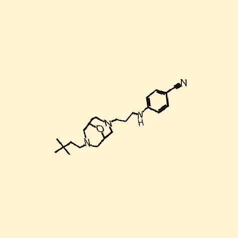 CC(C)(C)CCN1CC2CN(CCCNc3ccc(C#N)cc3)CC(C1)O2